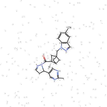 Cc1ncc(C2CC=NN2C(=O)[C@H]2CC3(Cn4ncc5cc(C#N)ccc54)CC2C3)cn1